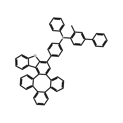 Cc1cc(-c2ccccc2)ccc1N(c1ccccc1)c1ccc(-c2cc3c(c4c2oc2ccccc24)-c2ccccc2-c2ccccc2-c2ccccc2-3)cc1